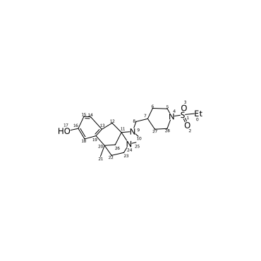 CCS(=O)(=O)N1CCC(CN(C)C23Cc4ccc(O)cc4C(C)(CCN2C)C3)CC1